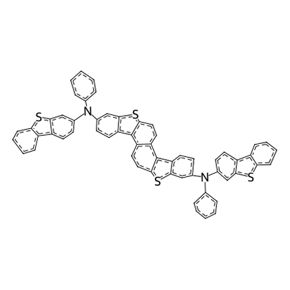 c1ccc(N(c2ccc3c(c2)sc2ccccc23)c2ccc3c(c2)sc2ccc4c(ccc5sc6cc(N(c7ccccc7)c7ccc8c(c7)sc7ccccc78)ccc6c54)c23)cc1